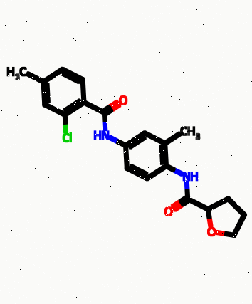 Cc1ccc(C(=O)Nc2ccc(NC(=O)C3CCCO3)c(C)c2)c(Cl)c1